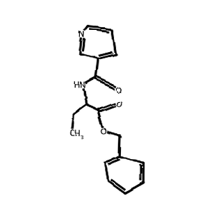 CCC(NC(=O)c1cccnc1)C(=O)OCc1ccccc1